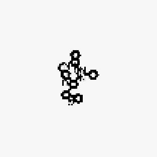 C1=CCCC(c2nc(-c3ccc4ccccc4c3)nc(-c3ccc(-c4cccc5oc6ccccc6c45)c4oc5cc6c(cc5c34)NCC=C6)n2)=C1